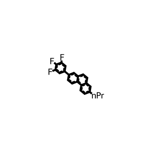 CCCc1ccc2c(ccc3cc(-c4cc(F)c(F)c(F)c4)ccc32)c1